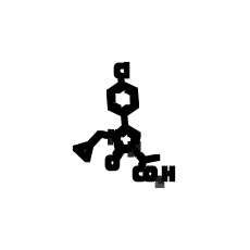 CC(C(=O)O)n1cc(-c2ccc(Cl)cc2)n(CC2CC2)c1=O